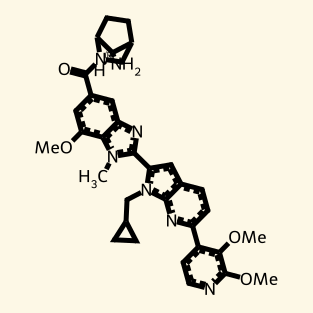 COc1nccc(-c2ccc3cc(-c4nc5cc(C(=O)N6CC7CCC6[C@@H]7N)cc(OC)c5n4C)n(CC4CC4)c3n2)c1OC